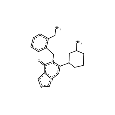 NCc1ccccc1Cn1c(N2CCCC(N)C2)cn2cncc2c1=O